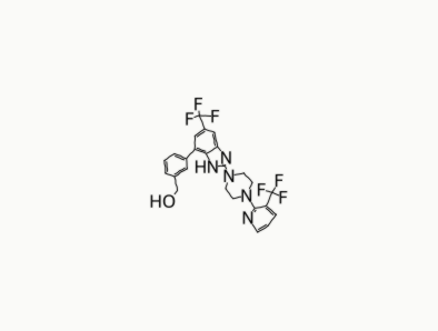 OCc1cccc(-c2cc(C(F)(F)F)cc3nc(N4CCN(c5ncccc5C(F)(F)F)CC4)[nH]c23)c1